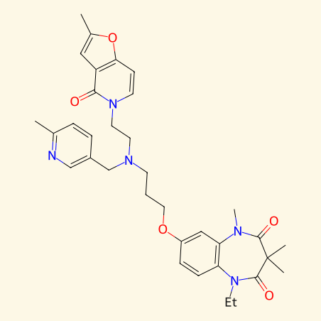 CCN1C(=O)C(C)(C)C(=O)N(C)c2cc(OCCCN(CCn3ccc4oc(C)cc4c3=O)Cc3ccc(C)nc3)ccc21